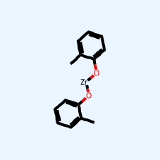 Cc1ccccc1[O][Zr][O]c1ccccc1C